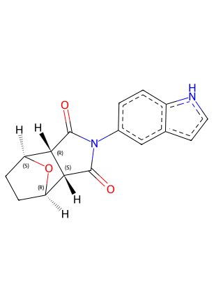 O=C1[C@@H]2[C@H](C(=O)N1c1ccc3[nH]ccc3c1)[C@H]1CC[C@@H]2O1